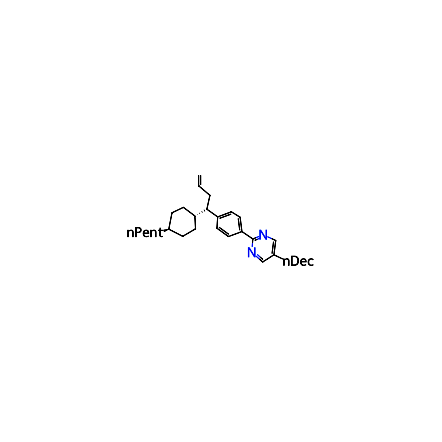 C=CCC(c1ccc(-c2ncc(CCCCCCCCCC)cn2)cc1)[C@H]1CC[C@H](CCCCC)CC1